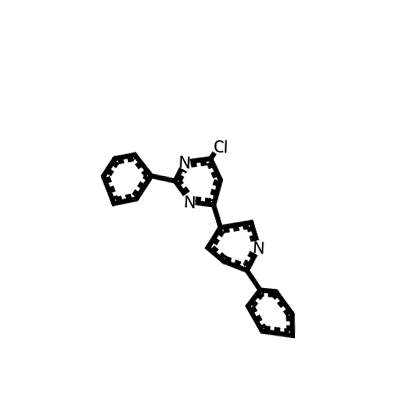 Clc1cc(-c2ccc(-c3ccccc3)nc2)nc(-c2ccccc2)n1